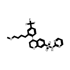 COCCCCc1cc(C(F)(F)F)ccc1[C@H]1CCOc2cc(S(=O)(=O)Nc3ncccn3)ccc21